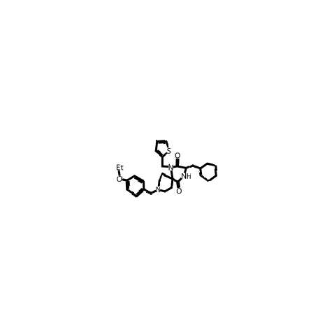 CCOc1ccc(CN2CCC3(CC2)C(=O)NC(CC2CCCCC2)C(=O)N3Cc2cccs2)cc1